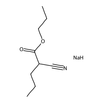 CCCOC(=O)C(C#N)CCC.[NaH]